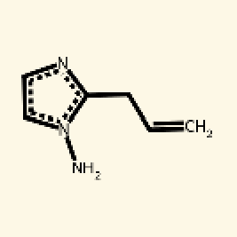 C=CCc1nccn1N